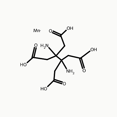 NC(CC(=O)O)(CC(=O)O)C(N)(CC(=O)O)CC(=O)O.[Mn]